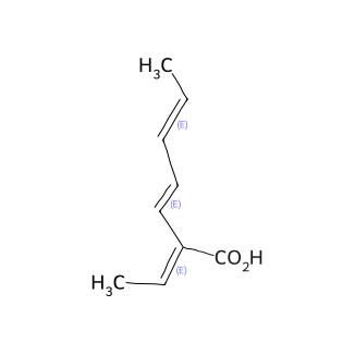 C/C=C/C=C/C(=C\C)C(=O)O